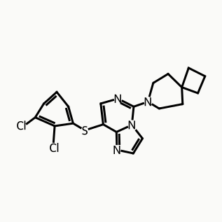 Clc1cccc(Sc2cnc(N3CCC4(CCC4)CC3)n3ccnc23)c1Cl